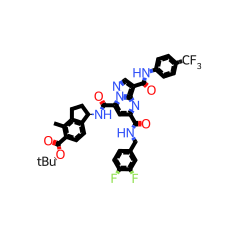 Cc1c(C(=O)OC(C)(C)C)ccc2c1CC[C@@H]2NC(=O)c1cc(C(=O)NCc2ccc(F)c(F)c2)nc2c(C(=O)Nc3ccc(C(F)(F)F)cc3)cnn12